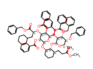 COC(=O)CC[C@H]1CCC[C@@H](O[C@@H]2O[C@H](COC(=O)c3ccccc3)[C@H](OC(=O)c3ccccc3)[C@H](O[C@@H](CC3CCCCC3)C(=O)OCc3ccccc3)[C@H]2OC(=O)c2ccccc2)[C@@H]1O[C@@H]1O[C@@H](C)[C@@H](OCc2ccccc2)[C@@H](OCc2ccccc2)[C@@H]1OCc1ccccc1